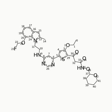 CCOc1cc(-c2cc(NCCn3c(C)cc4cccc(OCF)c43)ncn2)sc1C(=O)CC(=O)NOC1CCCCO1